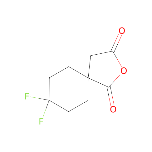 O=C1CC2(CCC(F)(F)CC2)C(=O)O1